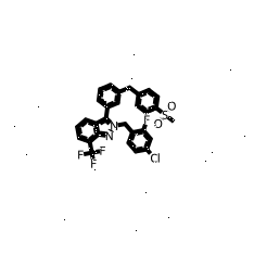 CS(=O)(=O)c1ccc(Cc2cccc(-c3c4cccc(C(F)(F)F)c4nn3Cc3ccc(Cl)cc3F)c2)cc1